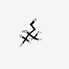 O=CCC(O)(C(F)(F)F)C(F)(F)F